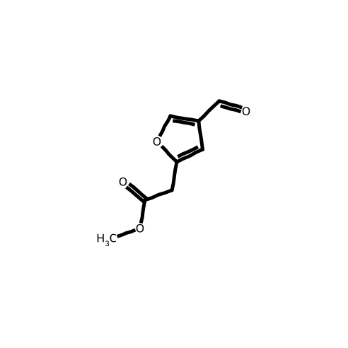 COC(=O)Cc1cc(C=O)co1